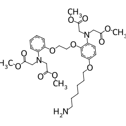 COC(=O)CN(CC(=O)OC)c1ccccc1OCCOc1cc(OCCCCCCN)ccc1N(CC(=O)OC)CC(=O)OC